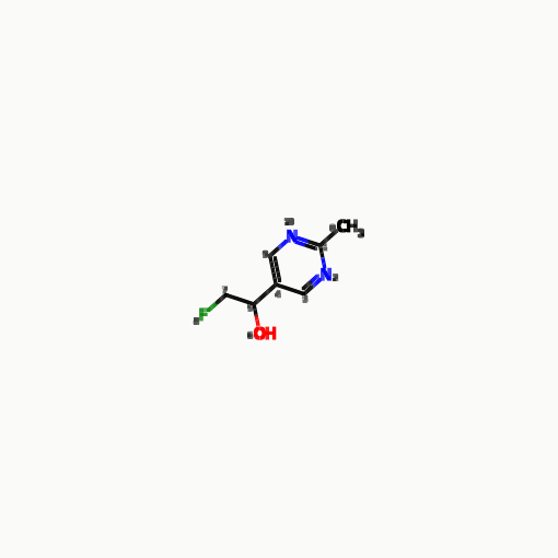 Cc1ncc(C(O)CF)cn1